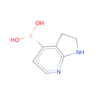 OB(O)c1ccnc2c1CCN2